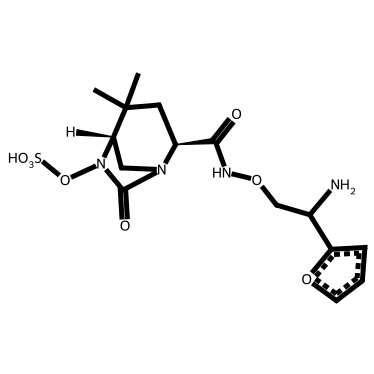 CC1(C)C[C@@H](C(=O)NOCC(N)c2ccco2)N2C[C@@H]1N(OS(=O)(=O)O)C2=O